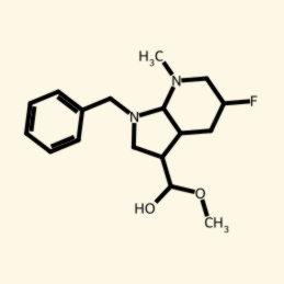 COC(O)C1CN(Cc2ccccc2)C2C1CC(F)CN2C